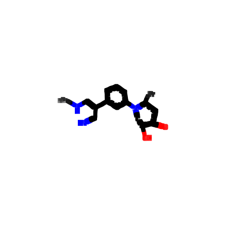 CCCN/C=C(\C=N)c1cccc(-n2cc(O)c(=O)cc2C(C)C)c1